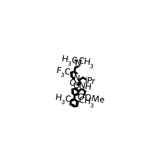 COC(=O)CC(NC(=O)C(CC(C)C)n1cc(CCN(C)C)c(C(F)(F)F)cc1=O)c1cccc(-c2c(C)cccc2C)c1